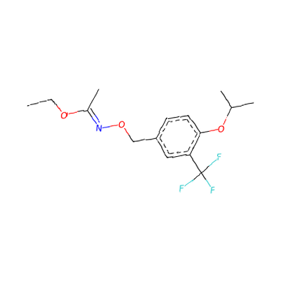 CCO/C(C)=N/OCc1ccc(OC(C)C)c(C(F)(F)F)c1